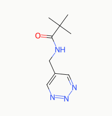 CC(C)(C)C(=O)NCc1cnnnc1